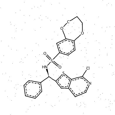 O=S(=O)(N[C@H](c1ccccc1)c1cc2ccnc(Cl)c2s1)c1ccc2c(c1)OCCCO2